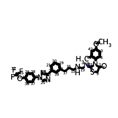 COc1ccc(N2C(=O)CS/C2=N\CNCCCc2cccc(-c3ncn(-c4ccc(OC(F)(F)F)cc4)n3)c2)c(C)c1